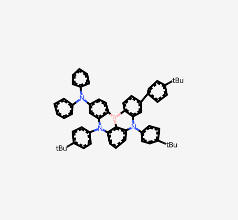 CC(C)(C)c1ccc(-c2ccc3c(c2)N(c2ccc(C(C)(C)C)cc2)c2cccc4c2B3c2ccc(N(c3ccccc3)c3ccccc3)cc2N4c2ccc(C(C)(C)C)cc2)cc1